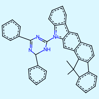 CC1(C)c2ccccc2-c2ccc3cc4c5ccccc5n(C5=NC(c6ccccc6)=NC(c6ccccc6)N5)c4cc3c21